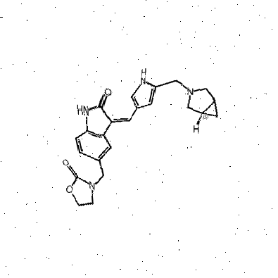 O=C1Nc2ccc(CN3CCOC3=O)cc2C1=Cc1c[nH]c(CN2CC3C[C@@H]3C2)c1